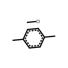 CCl.Cc1ccc(C)cc1